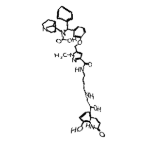 Cn1nc(C(=O)NCCCCNCC(O)c2ccc(O)c3[nH]c(=O)ccc23)cc1COc1cccc([C@H](c2ccccc2)N(C(=O)O)C2CN3CCC2CC3)c1